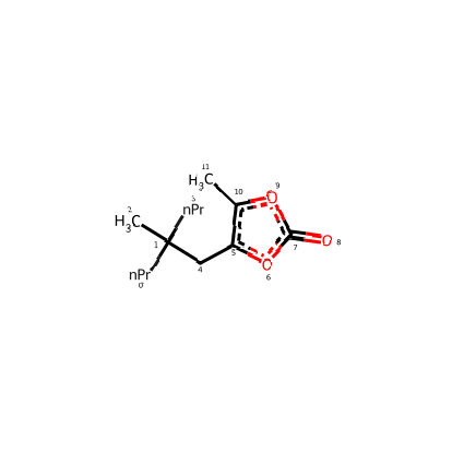 CCCC(C)(CCC)Cc1oc(=O)oc1C